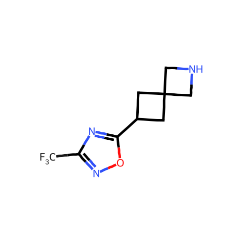 FC(F)(F)c1noc(C2CC3(CNC3)C2)n1